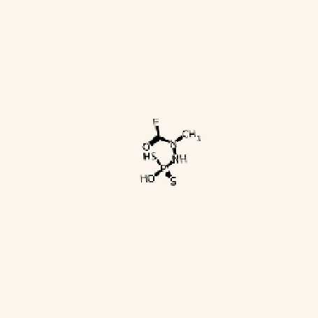 CN(NP(O)(=S)S)C(=O)F